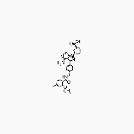 COc1cc(F)ccc1C(=O)NCc1ccc(-c2nn([C@@H]3CCCN(C(=O)O)C3)c3ncnc(N)c23)cc1